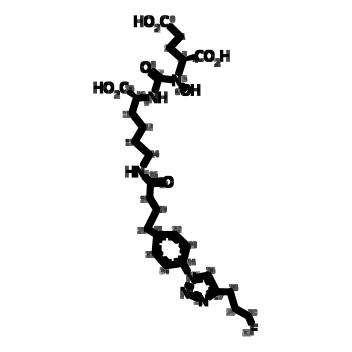 O=C(O)CC[C@@H](C(=O)O)N(O)C(=O)N[C@@H](CCCCNC(=O)CCCc1ccc(-n2cc(CCCF)nn2)cc1)C(=O)O